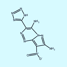 Nc1nn2c(N)c(-c3nnn[nH]3)nnc2c1[N+](=O)[O-]